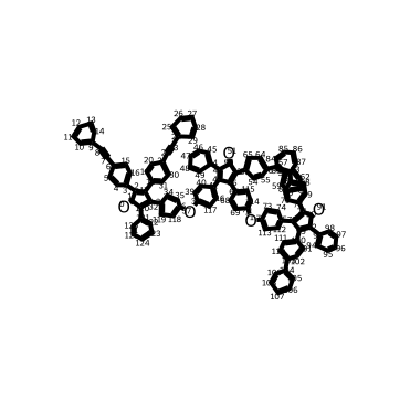 O=C1C(c2ccc(C#Cc3ccccc3)cc2)=C(c2ccc(C#Cc3ccccc3)cc2)C(c2ccc(Oc3ccc(C4=C(c5ccccc5)C(=O)C(c5ccc(Cc6ccccc6)cc5)=C4c4ccc(Oc5ccc(C6=C(c7ccc(-c8ccccc8)cc7)C(=O)C(c7ccccc7)=C6c6ccc(-c7ccccc7)cc6)cc5)cc4)cc3)cc2)=C1c1ccccc1